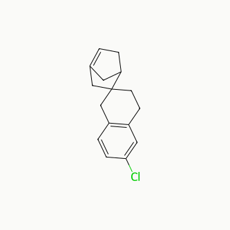 Clc1ccc2c(c1)CCC1(CC3=CCC1C3)C2